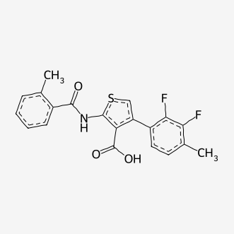 Cc1ccccc1C(=O)Nc1scc(-c2ccc(C)c(F)c2F)c1C(=O)O